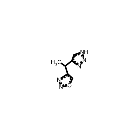 C[C](c1c[nH]nn1)c1conn1